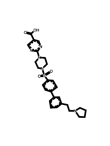 O=C(O)c1cnc(N2CCN(S(=O)(=O)c3ccc(-c4cccc(CCN5CCCC5)c4)cc3)CC2)nc1